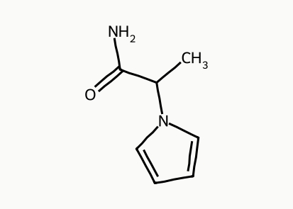 CC(C(N)=O)n1cccc1